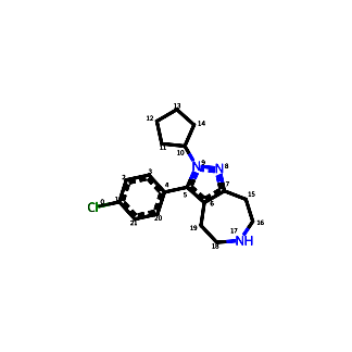 Clc1ccc(-c2c3c(nn2C2CCCC2)CCNCC3)cc1